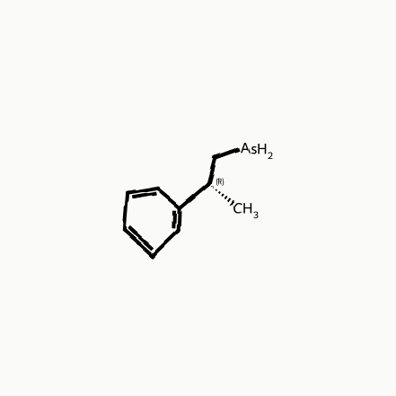 C[C@@H](C[AsH2])c1ccccc1